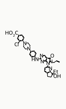 C=CCn1c(=O)c2cnc(Nc3ccc(N4CCN(c5ccc(C(=O)O)cc5Cl)CC4)cc3)nc2n1-c1ccc2c(n1)[C@@](O)(CC)CC2